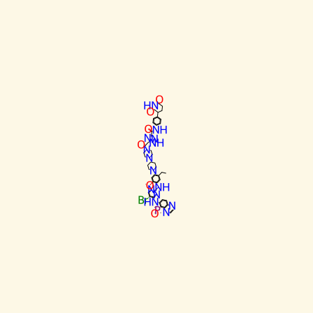 CCc1cc(Nc2ncc(Br)c(Nc3ccc4nccnc4c3P(C)(C)=O)n2)c(OC)cc1N1CCC(N2CCN(C(=O)c3nc(C(=O)Nc4ccc(C5CCC(=O)NC5=O)cc4)n[nH]3)CC2)CC1